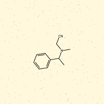 CC(c1ccccc1)N(C)CC#N